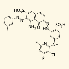 Cc1cccc(/N=N/c2c(S(=O)(=O)O)cc3c(c2N)C(=O)/C(=N\Nc2cc(Nc4nc(F)nc(F)c4Cl)ccc2S(=O)(=O)O)C=C3)c1